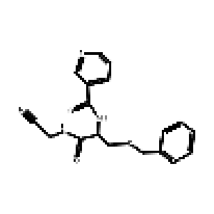 N#CCNC(=O)C(CSCc1ccccc1)NC(=O)c1cccnc1